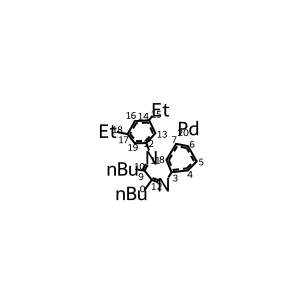 CCCCC(=Nc1ccccc1)C(CCCC)=Nc1cc(CC)cc(CC)c1.[Pd]